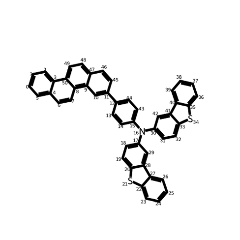 c1ccc2c(c1)ccc1c3cc(-c4ccc(N(c5ccc6sc7ccccc7c6c5)c5ccc6sc7ccccc7c6c5)cc4)ccc3ccc21